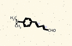 CN(C)c1ccc(/C=C/C=C/C=O)cc1